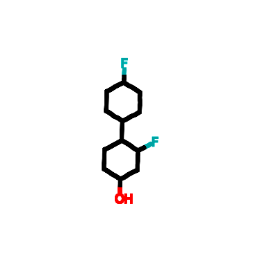 OC1CCC(C2CCC(F)CC2)C(F)C1